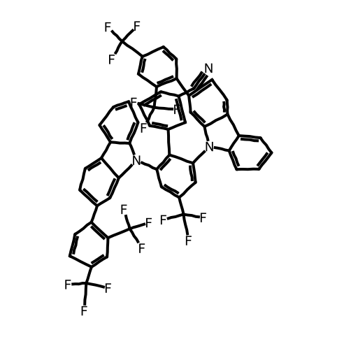 N#Cc1cccc(-c2c(-n3c4ccccc4c4ccc(-c5ccc(C(F)(F)F)cc5C(F)(F)F)cc43)cc(C(F)(F)F)cc2-n2c3ccccc3c3ccc(-c4ccc(C(F)(F)F)cc4C(F)(F)F)cc32)c1